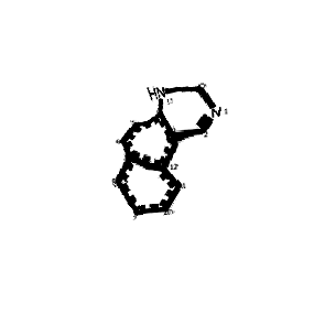 [C]1N=Cc2c(ccc3ccccc23)N1